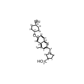 Cc1cc(CN2CCC(C(=O)O)C2)nc2ccc(O[C@H]3CC[C@H](C(C)(C)C)CC3)cc12